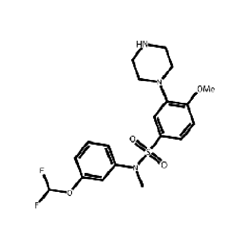 COc1ccc(S(=O)(=O)N(C)c2cccc(OC(F)F)c2)cc1N1CCNCC1